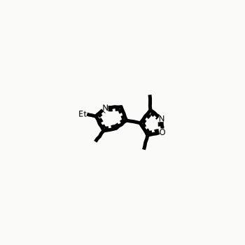 CCc1ncc(-c2c(C)noc2C)cc1C